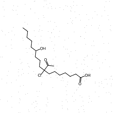 CCCCCC(O)CCCC(Cl)(CCCCCCC(=O)O)C(C)=O